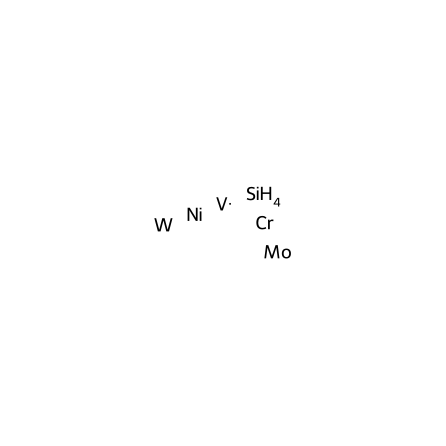 [Cr].[Mo].[Ni].[SiH4].[V].[W]